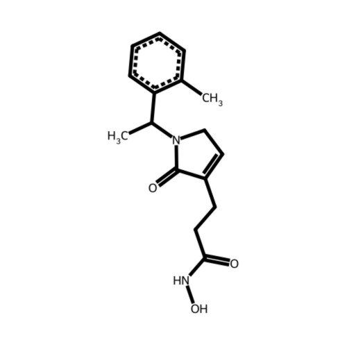 Cc1ccccc1C(C)N1CC=C(CCC(=O)NO)C1=O